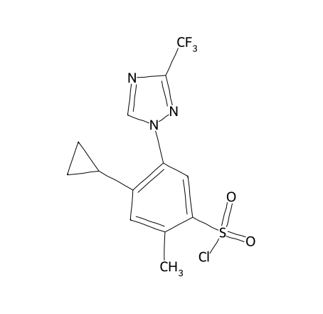 Cc1cc(C2CC2)c(-n2cnc(C(F)(F)F)n2)cc1S(=O)(=O)Cl